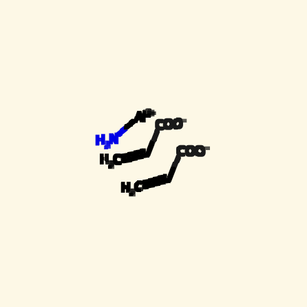 C=CC(=O)[O-].C=CC(=O)[O-].[NH2][Al+2]